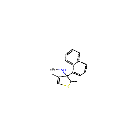 CCCNC1(c2cccc3ccccc23)C(C)=CSC1C